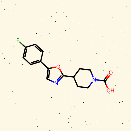 O=C(O)N1CCC(c2ncc(-c3ccc(F)cc3)o2)CC1